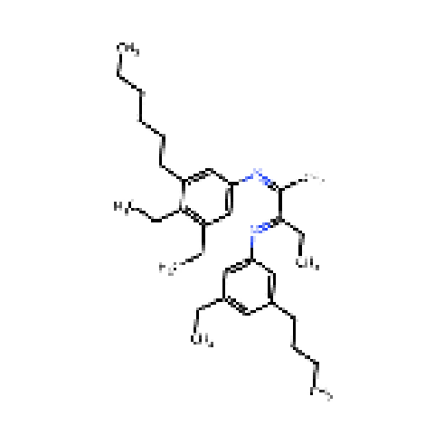 CCCCCCc1cc(N=C(C)C(CC)=Nc2cc(CC)cc(CCCC)c2)cc(CC)c1CC